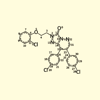 O=c1n(CCOc2ccccc2Cl)nc2c(-c3ccc(Cl)cc3)c(-c3ccc(Cl)cc3)cnn12